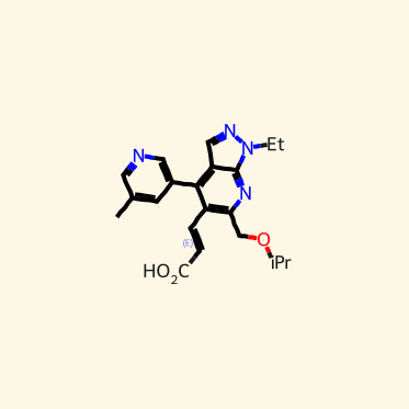 CCn1ncc2c(-c3cncc(C)c3)c(/C=C/C(=O)O)c(COC(C)C)nc21